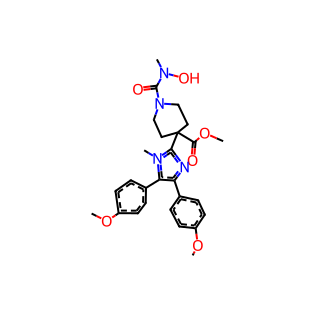 COC(=O)C1(c2nc(-c3ccc(OC)cc3)c(-c3ccc(OC)cc3)n2C)CCN(C(=O)N(C)O)CC1